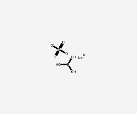 O=S(=O)([O-])[O-].OB(O)O.[K+].[Na+]